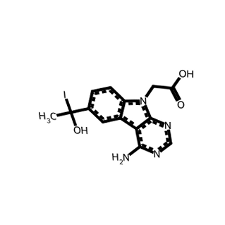 CC(O)(I)c1ccc2c(c1)c1c(N)ncnc1n2CC(=O)O